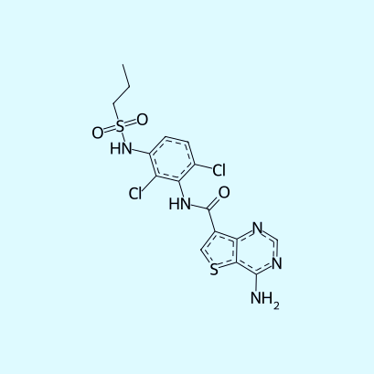 CCCS(=O)(=O)Nc1ccc(Cl)c(NC(=O)c2csc3c(N)ncnc23)c1Cl